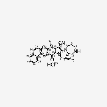 CC#CCn1c(N2CCCNCC2)c(C#N)c2c1c(=O)n(Cc1nccc3ccccc13)c(=O)n2C.Cl